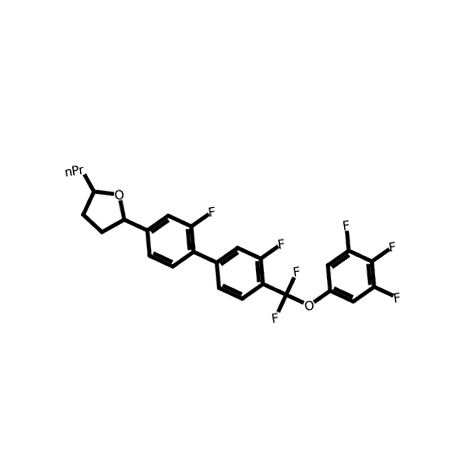 CCCC1CCC(c2ccc(-c3ccc(C(F)(F)Oc4cc(F)c(F)c(F)c4)c(F)c3)c(F)c2)O1